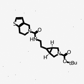 CC(C)(C)OC(=O)N1C[C@@H]2C(CCNC(=O)N3CCc4sccc4C3)[C@@H]2C1